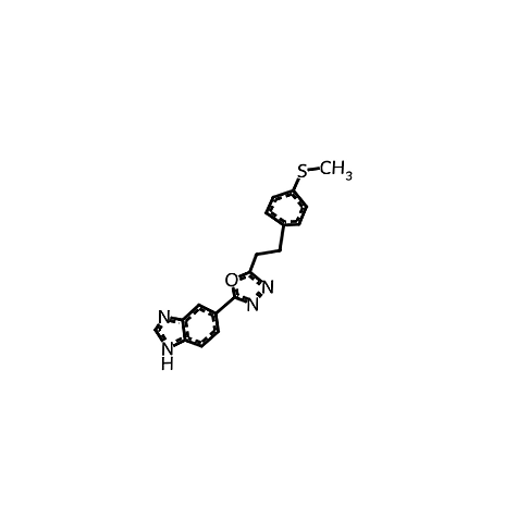 CSc1ccc(CCc2nnc(-c3ccc4[nH]cnc4c3)o2)cc1